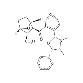 CC1[C@H](c2ccccc2)OC(c2ccccc2C(=O)[C@H]2[C@@H](C(=O)O)[C@@H]3CC[C@H]2O3)N1C